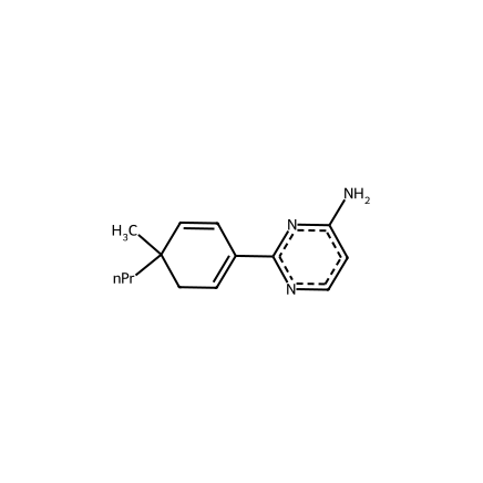 CCCC1(C)C=CC(c2nccc(N)n2)=CC1